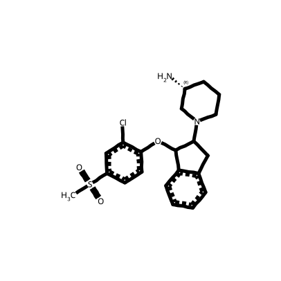 CS(=O)(=O)c1ccc(OC2c3ccccc3CC2N2CCC[C@@H](N)C2)c(Cl)c1